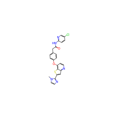 Cn1ccnc1-c1cc2nccc(Oc3ccc(CC(=O)Nc4ccc(Cl)cn4)cc3)c2s1